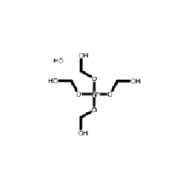 OCO[N+](OCO)(OCO)OCO.[OH-]